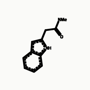 CNC(=O)Cc1cc2ccccc2[nH]1